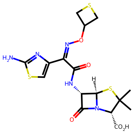 CC1(C)S[C@@H]2[C@@H](NC(=O)/C(=N\OC3CSC3)c3csc(N)n3)C(=O)N2[C@H]1C(=O)O